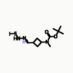 CN(C(=O)OC(C)(C)C)C1CC(/C=N/NSI)C1